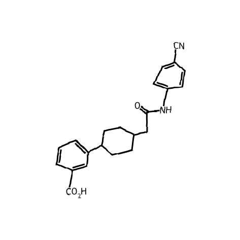 N#Cc1ccc(NC(=O)CC2CCC(c3cccc(C(=O)O)c3)CC2)cc1